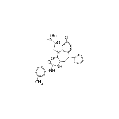 Cc1cccc(NC(=O)NC2CC(c3ccccc3)c3ccc(Cl)cc3N(CC(=O)NC(C)(C)C)C2=O)c1